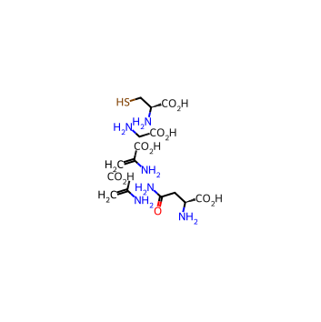 C=C(N)C(=O)O.C=C(N)C(=O)O.NC(=O)C[C@H](N)C(=O)O.NCC(=O)O.N[C@@H](CS)C(=O)O